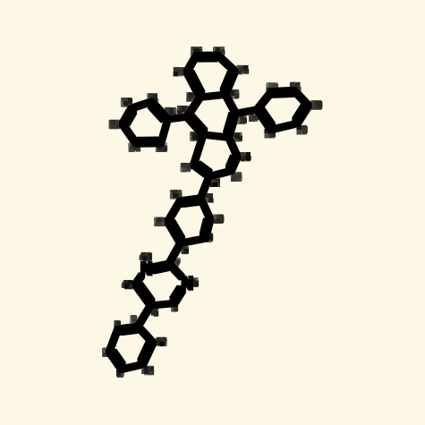 c1ccc(-c2cnc(-c3ccc(-c4ccc5c(-c6ccccc6)c6ccccc6c(-c6ccccc6)c5c4)cc3)nc2)cc1